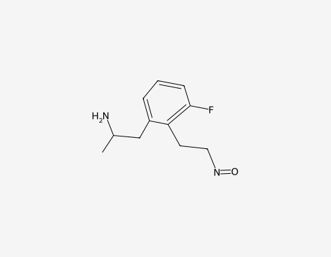 CC(N)Cc1cccc(F)c1CCN=O